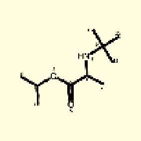 CC(C)OC(=O)C(C)NC(C)(C)C